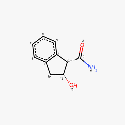 NC(=O)[C@H]1c2ccccc2C[C@H]1O